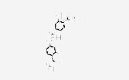 COC(=O)c1ccc(OBOc2ccc(C(=O)OC)c(Cl)c2)cc1Cl